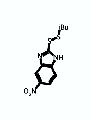 CCC(C)SSc1nc2cc([N+](=O)[O-])ccc2[nH]1